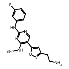 CCCNc1nc(Nc2cccc(F)c2)ncc1-c1cc(CCN)no1